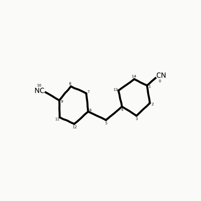 N#CC1CCC(CC2CCC(C#N)CC2)CC1